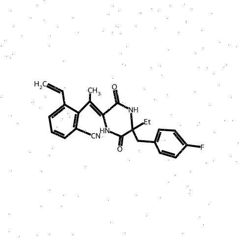 C=Cc1cccc(C#N)c1C(C)=C1NC(=O)C(CC)(Cc2ccc(F)cc2)NC1=O